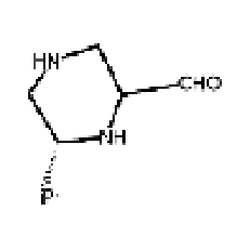 CC(C)[C@@H]1CNCC(C=O)N1